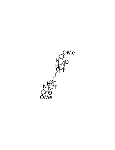 COc1ccc2c(c1)C(=O)N1CC(F)(F)C(OCCCCCOC3[C@@H]4C=Nc5ccc(OC)cc5C(=O)N4CC3(F)F)[C@@H]1C=N2